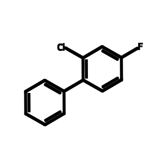 Fc1ccc(-c2ccccc2)c(Cl)c1